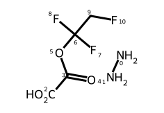 NN.O=C(O)C(=O)OC(F)(F)CF